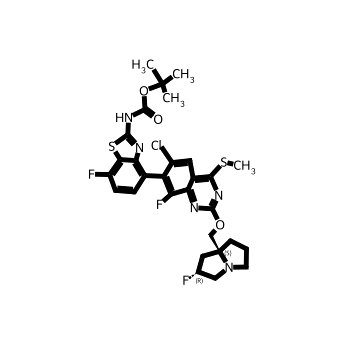 CSc1nc(OC[C@@]23CCCN2C[C@H](F)C3)nc2c(F)c(-c3ccc(F)c4sc(NC(=O)OC(C)(C)C)nc34)c(Cl)cc12